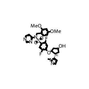 COc1ccc(CN(c2ccncn2)S(=O)(=O)c2cc(F)c(O[C@H]3C[C@H](O)C[C@@H]3c3ccnn3C)cc2F)c(OC)c1